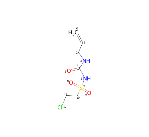 C=CCNC(=O)NS(=O)(=O)CCCl